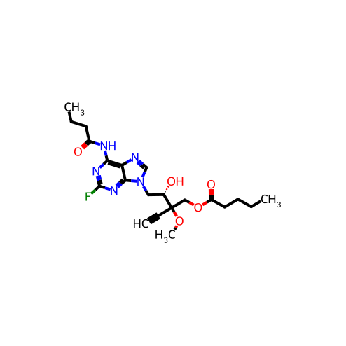 C#CC(COC(=O)CCCC)(OC)[C@@H](O)Cn1cnc2c(NC(=O)CCC)nc(F)nc21